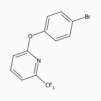 FC(F)(F)c1[c]ccc(Oc2ccc(Br)cc2)n1